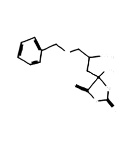 CC1(CC(COCc2ccccc2)C(=O)O)NC(=O)NC1=O